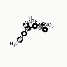 CN1CCN(C2CCC(n3cc(-c4ccc(NS(=O)(=O)c5ccccc5[N+](=O)[O-])c(F)c4)c4c(N)ncnc43)CC2)CC1